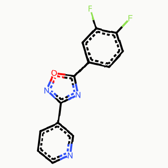 Fc1ccc(-c2nc(-c3cccnc3)no2)cc1F